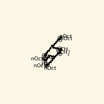 CCCCCCCCCOC(=O)CCCCCCCN(CCCCCCCC(=O)OC(CCCCCCCC)CCCCCCCC)CCCCC(=O)OC(C)[C@H](C)OC(=O)CCCCC(CCCCCCCC(=O)ONCCCCCCCC)CCCCCCCC(=O)OC(CCCCCCCC)CCCCCCCC